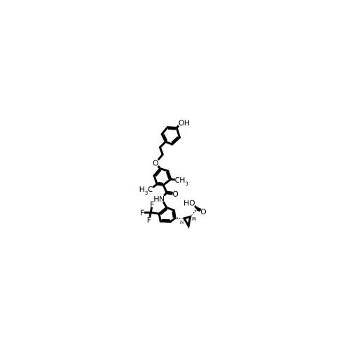 Cc1cc(OCCc2ccc(O)cc2)cc(C)c1C(=O)Nc1cc([C@H]2C[C@H]2C(=O)O)ccc1C(F)(F)F